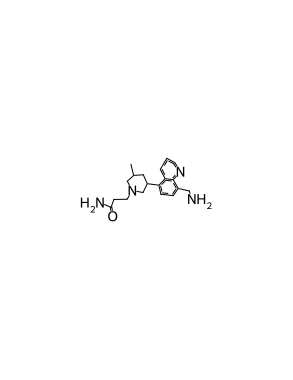 CC1CC(c2ccc(CN)c3ncccc23)CN(CCC(N)=O)C1